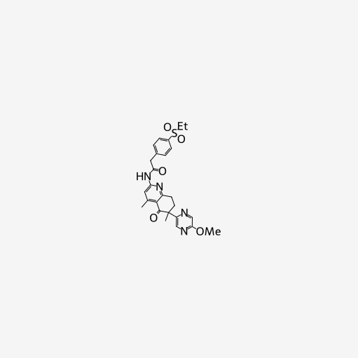 CCS(=O)(=O)c1ccc(CC(=O)Nc2cc(C)c3c(n2)CCC(C)(c2cnc(OC)cn2)C3=O)cc1